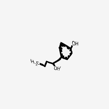 C=CCC(O)c1ccc(O)cc1